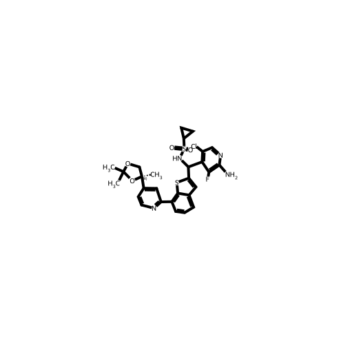 CC1(C)OC[C@@](C)(c2ccnc(-c3cccc4cc(C(NS(=O)(=O)C5CC5)c5c(Cl)cnc(N)c5F)sc34)c2)O1